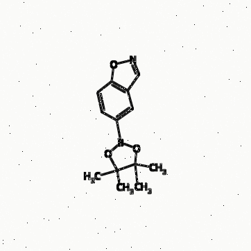 CC1(C)OB(c2ccc3oncc3c2)OC1(C)C